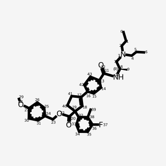 CCCN(CCC)C[C@@H](C)NC(=O)c1ccc(C2=CC(C(=O)OCc3ccc(OC)cc3)(c3cccc(F)c3C)CC2)cc1